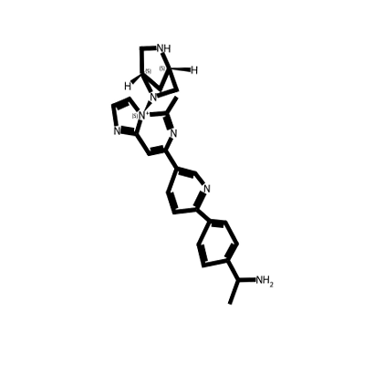 CC1=NC(c2ccc(-c3ccc(C(C)N)cc3)nc2)=CC2=NC=C[N@+]12N1C[C@@H]2C[C@H]1CN2